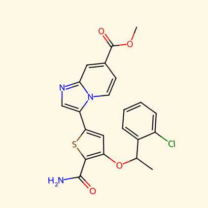 COC(=O)c1ccn2c(-c3cc(OC(C)c4ccccc4Cl)c(C(N)=O)s3)cnc2c1